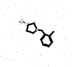 Cc1ccccc1CN1CC[C@H](N)C1